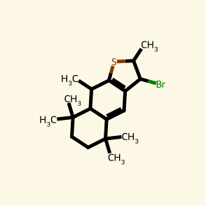 CC1SC2=C(C=C3C(C2C)C(C)(C)CCC3(C)C)C1Br